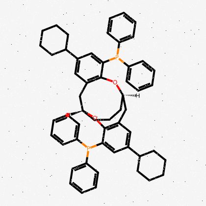 c1ccc(P(c2ccccc2)c2cc(C3CCCCC3)cc3c2O[C@@H]2CCC[C@H](C3)Oc3c(cc(C4CCCCC4)cc3P(c3ccccc3)c3ccccc3)C2)cc1